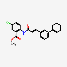 COC(=O)c1cc(Cl)ccc1NC(=O)C=Cc1cccc(C2=CCCCC2)c1